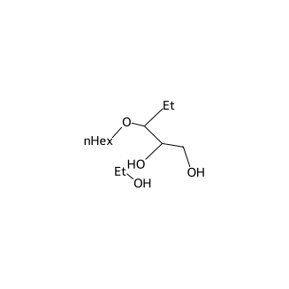 CCCCCCOC(CC)C(O)CO.CCO